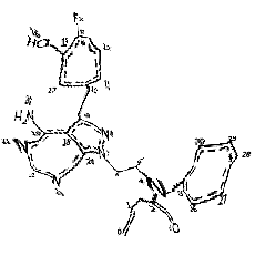 C=CC(=O)N(CCn1nc(-c2ccc(F)c(O)c2)c2c(N)ncnc21)c1ccccc1